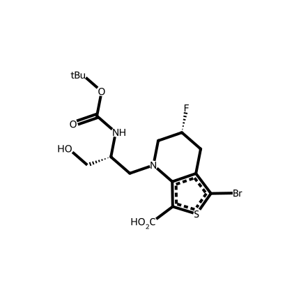 CC(C)(C)OC(=O)N[C@@H](CO)CN1C[C@H](F)Cc2c(Br)sc(C(=O)O)c21